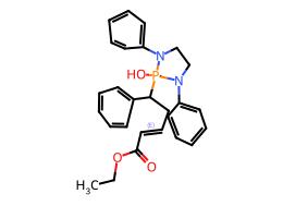 CCOC(=O)/C=C/CC(c1ccccc1)[P]1(O)N(c2ccccc2)CCN1c1ccccc1